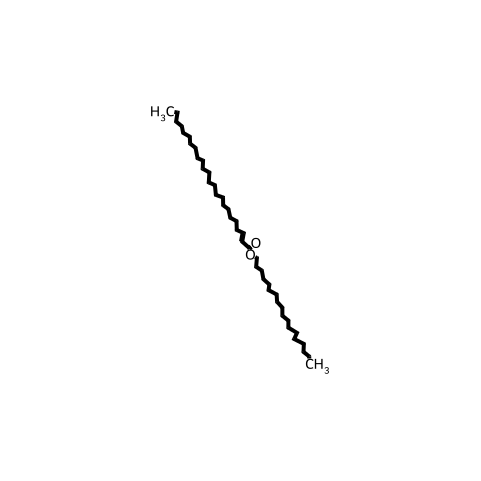 CCCCCCCCCCCCCCCCCCCCCC=CC(=O)OCCCCCCCCCCCCCCCCCC